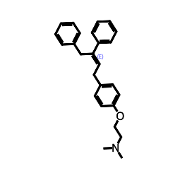 CN(C)CCOc1ccc(C/C=C(\Cc2ccccc2)c2ccccc2)cc1